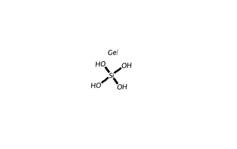 O[Si](O)(O)O.[Ge]